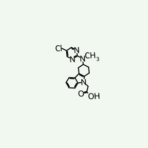 CN(c1ncc(Cl)cn1)C1CCc2c(c3ccccc3n2CC(=O)O)C1